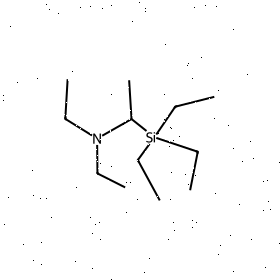 CCN(CC)C(C)[Si](CC)(CC)CC